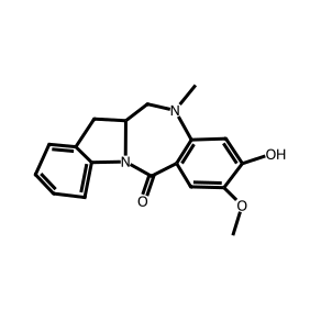 COc1cc2c(cc1O)N(C)CC1Cc3ccccc3N1C2=O